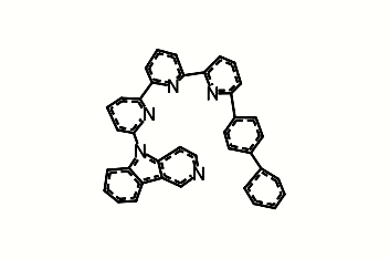 c1ccc(-c2ccc(-c3cccc(-c4cccc(-c5cccc(-n6c7ccccc7c7cnccc76)n5)n4)n3)cc2)cc1